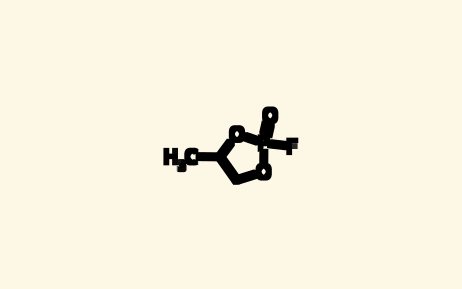 CC1COP(=O)(F)O1